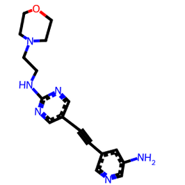 Nc1cncc(C#Cc2cnc(NCCN3CCOCC3)nc2)c1